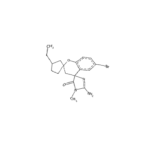 CCC1CCC2(C1)CC1(N=C(N)N(C)C1=O)c1cc(Br)ccc1O2